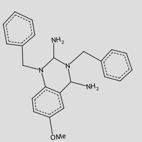 COc1ccc2c(c1)C(N)N(Cc1ccccc1)C(N)N2Cc1ccccc1